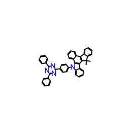 CC1(C)c2ccccc2-c2c1c1c3ccccc3n(-c3ccc(-c4nc(-c5ccccc5)nc(-c5ccccc5)n4)cc3)c1c1ccccc21